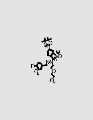 COCCOCCN(/N=C/c1ccc(F)c(OC)c1)C1=NS(=O)(=O)c2cc(B3OC(C)(C)C(C)(C)O3)ccc21